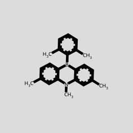 Cc1ccc2c(c1)N(C)c1cc(C)ccc1B2c1c(C)cccc1C